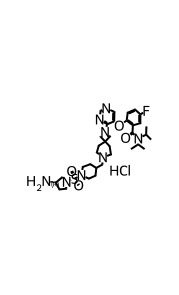 CC(C)N(C(=O)c1cc(F)ccc1Oc1cncnc1N1CC2(CCN(CC3CCN(S(=O)(=O)N4CC[C@@H](N)C4)CC3)CC2)C1)C(C)C.Cl